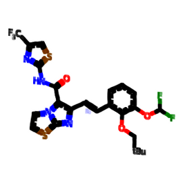 CC(C)(C)COc1c(/C=C/c2nc3sccn3c2C(=O)Nc2nc(C(F)(F)F)cs2)cccc1OC(F)F